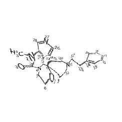 CN(C(=O)N1CCOC2(CCN(CCc3ccccc3)CC2)C1)c1cccnc1